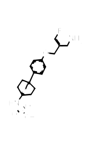 CS(=O)(=O)NC12CCC(c3ccc(OCC(=CF)CN)cc3)(CC1)CC2